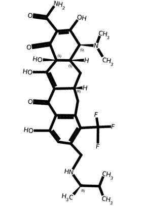 CC(C)[C@@H](C)NCc1cc(O)c2c(c1C(F)(F)F)C[C@H]1C[C@H]3[C@H](N(C)C)C(O)=C(C(N)=O)C(=O)[C@@]3(O)C(O)=C1C2=O